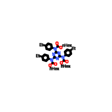 CCCCCCOC(=O)N(c1ccc(CC)cc1)c1nc(N(C(=O)OCCCCCC)c2ccc(CC)cc2)nc(N(C(=O)OCCCCCC)c2ccc(CC)cc2)n1